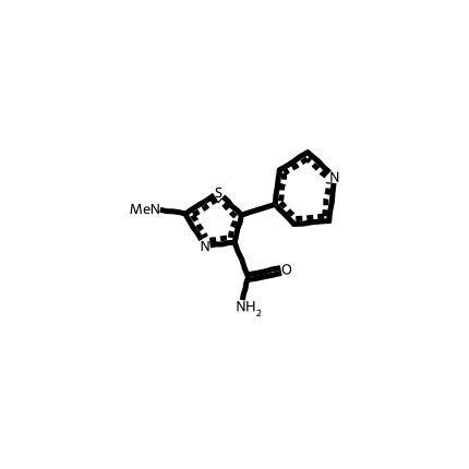 CNc1nc(C(N)=O)c(-c2ccncc2)s1